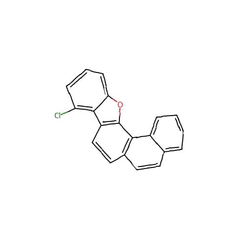 Clc1cccc2oc3c(ccc4ccc5ccccc5c43)c12